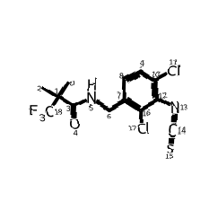 CC(C)(C(=O)NCc1ccc(Cl)c(N=C=S)c1Cl)C(F)(F)F